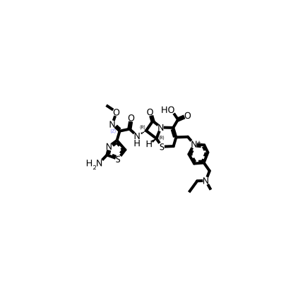 CCN(C)Cc1cc[n+](CC2=C(C(=O)O)N3C(=O)[C@@H](NC(=O)/C(=N\OC)c4csc(N)n4)[C@H]3SC2)cc1